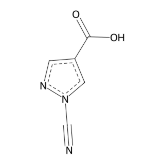 N#Cn1cc(C(=O)O)cn1